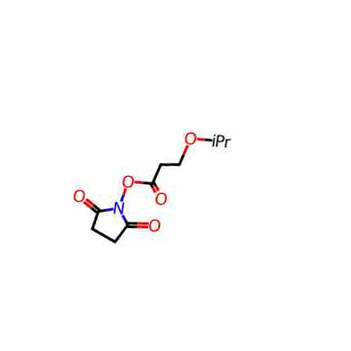 CC(C)OCCC(=O)ON1C(=O)CCC1=O